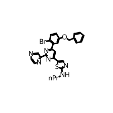 CCCNc1ncc(-c2cc(-c3cc(OCc4ccccc4)ccc3Br)nc(-c3cnccn3)n2)s1